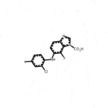 O=C(O)n1cnc2ccc(Nc3ccc(I)cc3Cl)c(F)c21